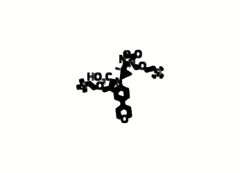 C[C@]1(c2noc(=O)n2COCC[Si](C)(C)C)C[C@@H]1n1c(C(=O)O)c(COCC[Si](C)(C)C)c2cc(C3CCOCC3)ccc21